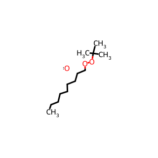 CCCCCCCCCOOC(C)(C)C.[O]